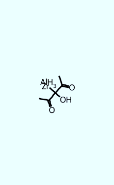 CC(=O)[C](O)([Zr])C(C)=O.[AlH3]